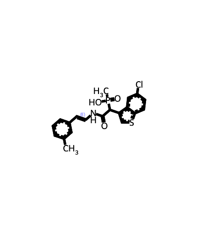 Cc1cccc(/C=C/NC(=O)C(c2csc3ccc(Cl)cc23)P(C)(=O)O)c1